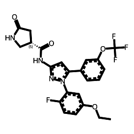 CCOc1ccc(F)c(-n2nc(NC(=O)[C@@H]3CNC(=O)C3)cc2-c2cccc(OC(F)(F)F)c2)c1